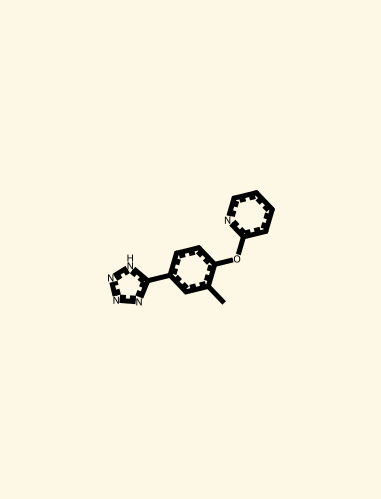 Cc1cc(-c2nnn[nH]2)ccc1Oc1ccccn1